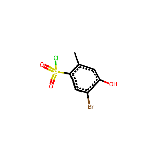 Cc1cc(O)c(Br)cc1S(=O)(=O)Cl